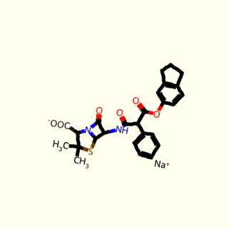 CC1(C)SC2C(NC(=O)C(C(=O)Oc3ccc4c(c3)CCC4)c3ccccc3)C(=O)N2C1C(=O)[O-].[Na+]